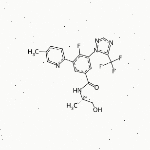 Cc1ccc(-c2cc(C(=O)N[C@@H](C)CO)cc(-n3ncnc3C(F)(F)F)c2F)nc1